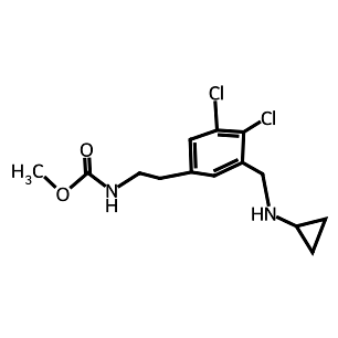 COC(=O)NCCc1cc(Cl)c(Cl)c(CNC2CC2)c1